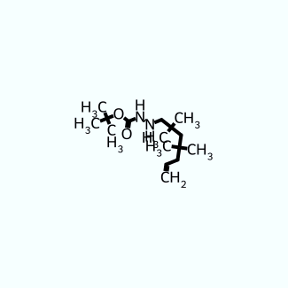 C=CCC(C)(C)CC(C)(C)CNNC(=O)OC(C)(C)C